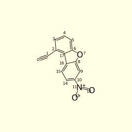 C#Cc1cccc2oc3cc([N+](=O)[O-])ccc3c12